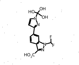 O=C(O)c1nn(C(F)F)c2cc(-c3ccn(C(O)(O)O)n3)ccc12